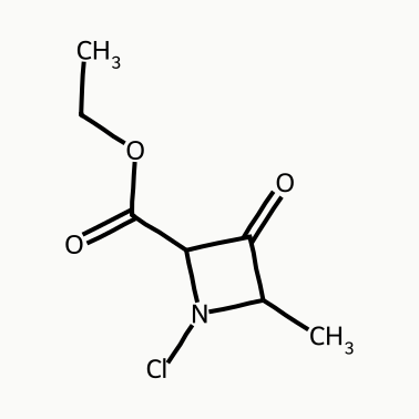 CCOC(=O)C1C(=O)C(C)N1Cl